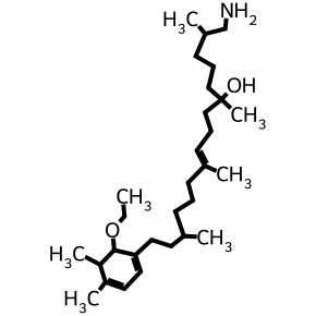 CCOC1C(CCC(C)CCC/C(C)=C/CCC(C)(O)CCCC(C)CN)=CC=C(C)C1C